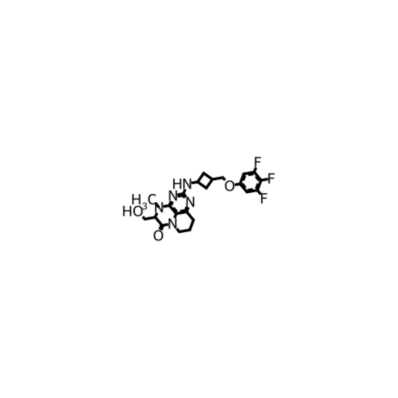 CN1c2nc(NC3CC(COc4cc(F)c(F)c(F)c4)C3)nc3c2N(CCC3)C(=O)C1CO